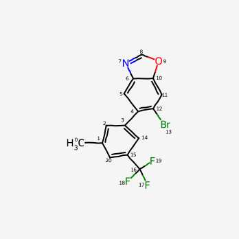 Cc1cc(-c2cc3ncoc3cc2Br)cc(C(F)(F)F)c1